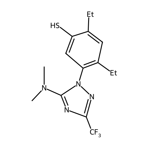 CCc1cc(CC)c(-n2nc(C(F)(F)F)nc2N(C)C)cc1S